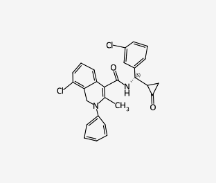 CC1=C(C(=O)N[C@H](c2cccc(Cl)c2)C2CC2=O)c2cccc(Cl)c2CN1c1ccccc1